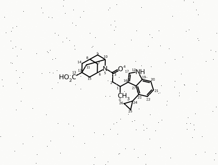 CC(CC(=O)N1C2CC3CC1CC(C(=O)O)(C3)C2)c1c[nH]c2cccc(C3CC3)c12